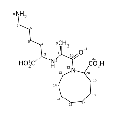 C[C@H](N[C@@H](CCCCN)C(=O)O)C(=O)N1CCCCCCCC1C(=O)O